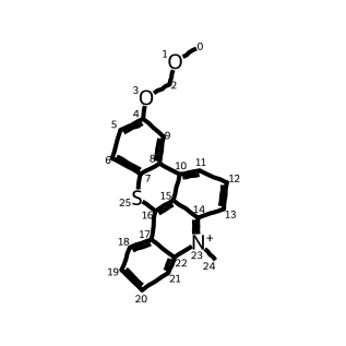 COCOc1ccc2c(c1)-c1cccc3c1c(c1ccccc1[n+]3C)S2